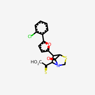 O=C(O)C(=S)C1C(c2ccc(-c3ccccc3Cl)o2)C2SCN1C2=O